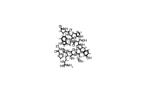 CCNC(=O)C1CCCN1C(=O)C(CCCNC(=N)N)NC(=O)C(CC(C)C)NC(=O)C(COC(C)(C)C)NC(=O)C(Cc1ccc(O)cc1)NC(=O)C(CO)NC(=O)C(Cc1c[nH]c2ccccc12)NC(=O)C(Cc1c[nH]cn1)NC(=O)C1CCC(=O)N1